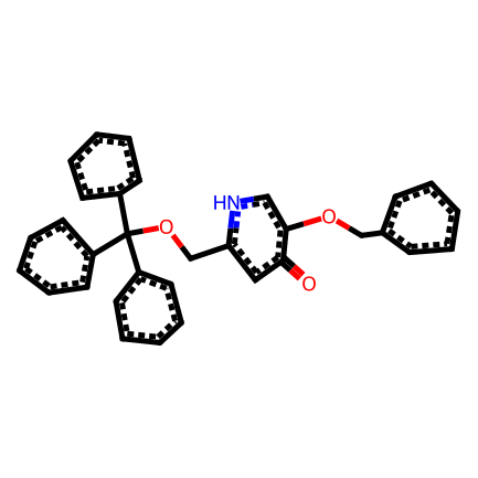 O=c1cc(COC(c2ccccc2)(c2ccccc2)c2ccccc2)[nH]cc1OCc1ccccc1